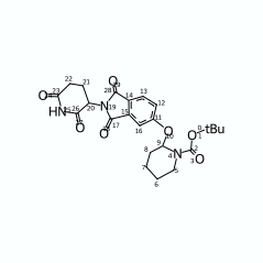 CC(C)(C)OC(=O)N1CCCCC1Oc1ccc2c(c1)C(=O)N(C1CCC(=O)NC1=O)C2=O